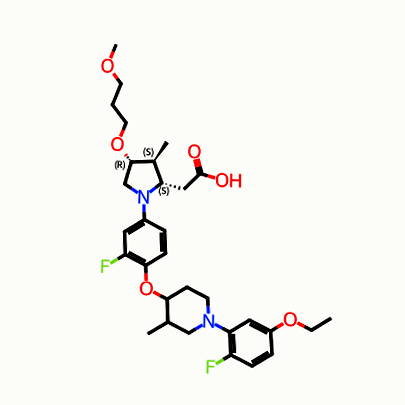 CCOc1ccc(F)c(N2CCC(Oc3ccc(N4C[C@H](OCCCOC)[C@@H](C)[C@@H]4CC(=O)O)cc3F)C(C)C2)c1